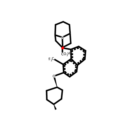 C[C@H]1CC[C@@H](Oc2ccc3cccc(CN4C5CCCC4CC(C(=O)O)C5)c3c2C(F)(F)F)CC1